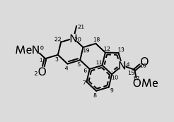 CNC(=O)C1C=C2c3cccc4c3c(cn4C(=O)OC)CC2N(C)C1